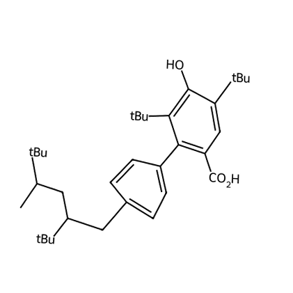 CC(CC(Cc1ccc(-c2c(C(=O)O)cc(C(C)(C)C)c(O)c2C(C)(C)C)cc1)C(C)(C)C)C(C)(C)C